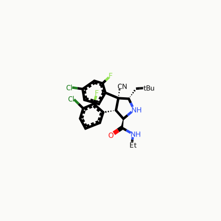 CCNC(=O)[C@@H]1N[C@@H](CC(C)(C)C)[C@](C#N)(c2ccc(Cl)cc2F)[C@H]1c1cccc(Cl)c1F